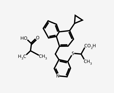 CC(C)C(=O)O.CC(Sc1ccncc1Cc1ccc(C2CC2)c2ccccc12)C(=O)O